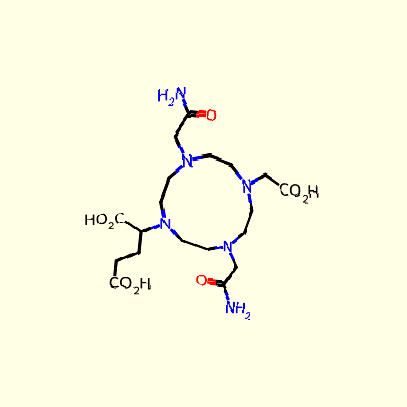 NC(=O)CN1CCN(CC(=O)O)CCN(CC(N)=O)CCN(C(CCC(=O)O)C(=O)O)CC1